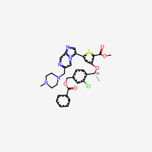 COC(=O)c1sc(-c2cnc3cnc(CN4CCN(C)CC4)cn23)cc1O[C@H](C)c1ccc(COC(=O)c2ccccc2)cc1Cl